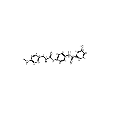 COc1ccc(CNC(=O)Cc2ccc(NC(=O)c3cccc(Cl)c3)cc2)cc1